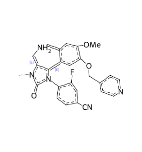 C=c1cc(OC)c(OCc2ccncc2)c/c1=c1/c(=C\N)n(C)c(=O)n1-c1ccc(C#N)cc1F